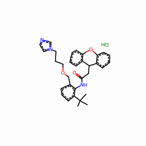 CC(C)(C)c1cccc(COCCCn2ccnc2)c1NC(=O)CC1c2ccccc2Oc2ccccc21.Cl